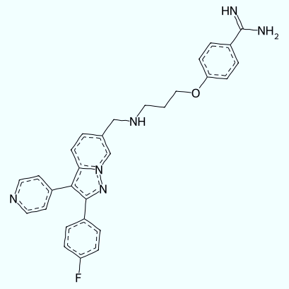 N=C(N)c1ccc(OCCCNCc2ccc3c(-c4ccncc4)c(-c4ccc(F)cc4)nn3c2)cc1